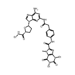 CCNC(=O)[C@@H]1CC[C@H](n2cnc3c(N)nc(NC(=O)Cc4ccc(NC(=O)c5nc6c(c(=O)n(CC)c(=O)n6CC)n5C)cc4)nc32)O1